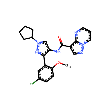 COc1ccc(Cl)cc1-c1nn(C2CCCC2)cc1NC(=O)c1cnn2cccnc12